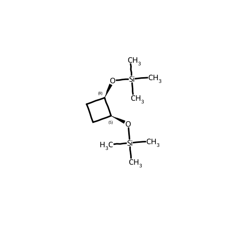 C[Si](C)(C)O[C@H]1CC[C@H]1O[Si](C)(C)C